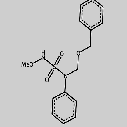 CONS(=O)(=O)N(COCc1ccccc1)c1ccccc1